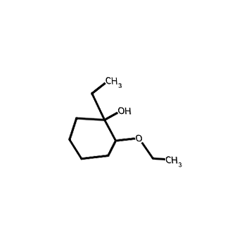 CCOC1CCCCC1(O)CC